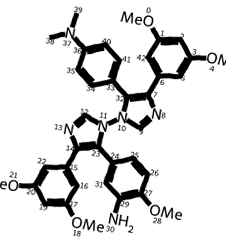 COc1cc(OC)cc(-c2ncn(-n3cnc(-c4cc(OC)cc(OC)c4)c3-c3ccc(OC)c(N)c3)c2-c2ccc(N(C)C)cc2)c1